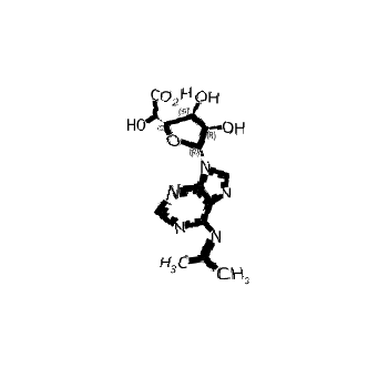 CC(C)=Nc1ncnc2c1ncn2[C@@H]1O[C@H](C(O)C(=O)O)[C@@H](O)[C@H]1O